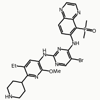 CCc1cc(Nc2ncc(Br)c(Nc3ccc4nccnc4c3P(C)(C)=O)n2)c(OC)nc1C1CCNCC1